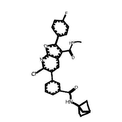 CNC(=O)c1c(-c2ccc(F)cc2)oc2nc(Cl)c(-c3cccc(C(=O)NC45CC(C4)C5)c3)cc12